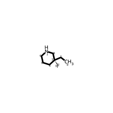 CC[C@@]1(F)CCCNC1